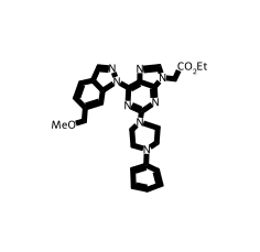 CCOC(=O)Cn1cnc2c(N3N=CC4C=CC(COC)=CC43)nc(N3CCN(c4ccccc4)CC3)nc21